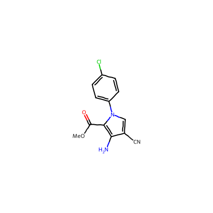 COC(=O)c1c(N)c(C#N)cn1-c1ccc(Cl)cc1